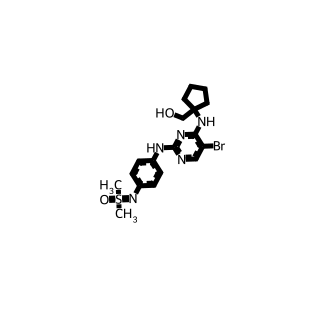 CS(C)(=O)=Nc1ccc(Nc2ncc(Br)c(NC3(CO)CCCC3)n2)cc1